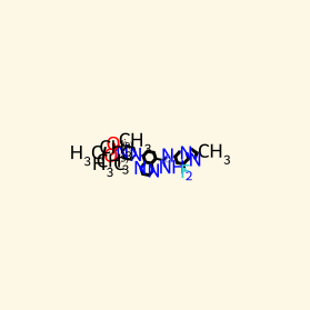 Cc1cn2cc(/N=C(\N)c3ccc(N4C[C@@H](C)N(C(=O)OC(C)(C)C)[C@@H](C)C4)c4nccnc34)cc(F)c2n1